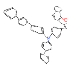 c1ccc(-c2ccc(-c3ccc(N(c4ccc(-c5ccccc5)cc4)c4ccc(-c5cccc6oc7c8ccccc8ccc7c56)cc4)cc3)cc2)cc1